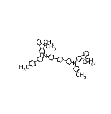 Cc1ccc(-c2ccc3c(c2)c2cc4c(cc2n3-c2ccc(-c3ccc(-c5ccc(N(c6ccc(C)cc6)c6ccc7c(c6)C(C)(C)c6ccccc6-7)cc5)cc3)cc2)C(C)(C)c2ccccc2-4)cc1